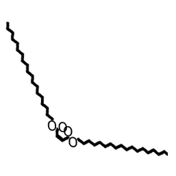 CCCCCCCCCCCCCCCCCCCOC(=O)/C=C\C(=O)OCCCCCCCCCCCCCCCCCCC